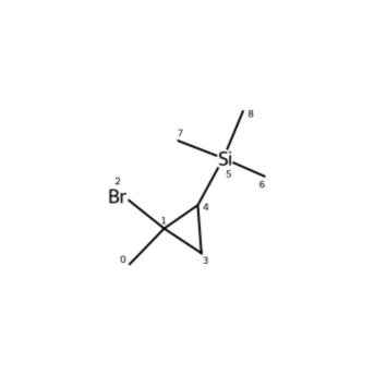 CC1(Br)CC1[Si](C)(C)C